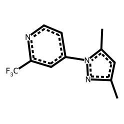 Cc1cc(C)n(-c2ccnc(C(F)(F)F)c2)n1